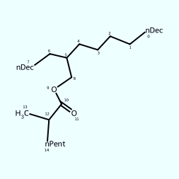 CCCCCCCCCCCCCCC(CCCCCCCCCCC)COC(=O)C(C)CCCCC